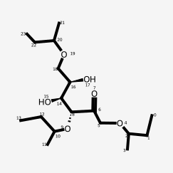 CCC(C)OCC(=O)[C@H](OC(C)CC)[C@@H](O)[C@H](O)COC(C)CC